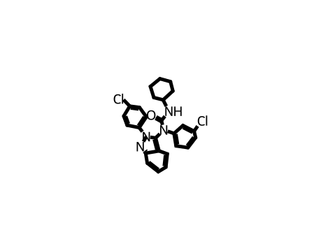 O=C(NC1CCCCC1)N(c1cccc(Cl)c1)c1c2ccccc2nn1-c1ccc(Cl)cc1